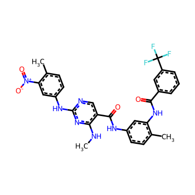 CNc1nc(Nc2ccc(C)c([N+](=O)[O-])c2)ncc1C(=O)Nc1ccc(C)c(NC(=O)c2cccc(C(F)(F)F)c2)c1